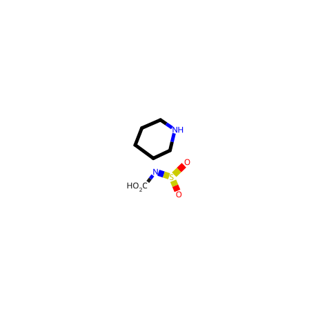 C1CCNCC1.O=C(O)N=S(=O)=O